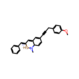 COc1ccc(CC#CC2=CC3=C/C(=C/c4ccccc4)[SH]N(C)C3C=C2)cc1